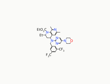 CCOC(=O)N1c2c(cc(C)nc2C)C(N(Cc2cc(C(F)(F)F)cc(C(F)(F)F)c2)c2ncc(N3CCOCC3)cn2)CC1CC